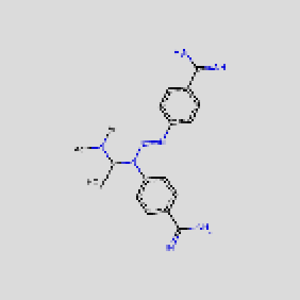 CC(=O)N(C(C)=O)C(C(=O)O)N(N=Nc1ccc(C(=N)N)cc1)c1ccc(C(=N)N)cc1